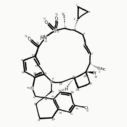 CC(=O)O[C@H]1/C=C/C[C@@H](C2CC2)[C@@H](C)S(=O)(=O)NC(=O)c2ccc3c(c2)N(C[C@@H]2CC[C@H]21)C[C@@]1(CCCc2cc(Cl)ccc21)CO3